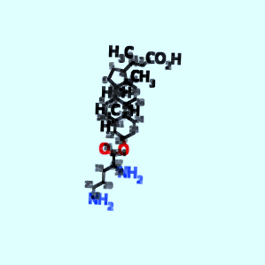 C[C@H](CC(=O)O)C1CC[C@H]2[C@@H]3CC[C@@H]4C[C@H](OC(=O)[C@@H](N)CCCN)CC[C@]4(C)[C@H]3CC[C@]12C